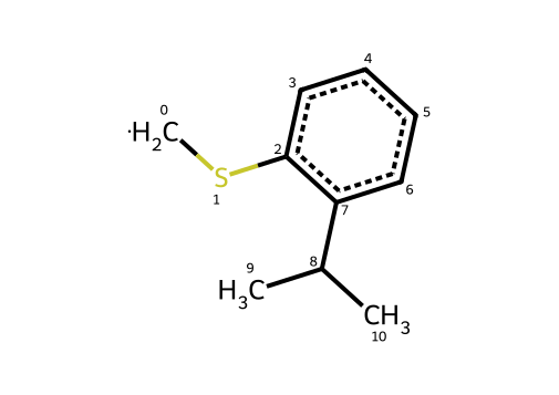 [CH2]Sc1ccccc1C(C)C